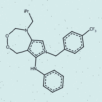 CC(C)CN1COOCc2c1cn(Cc1ccc(C(F)(F)F)cc1)c2Nc1ccccc1